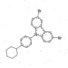 Brc1ccc2c(c1)c1cc(Br)ccc1n2-c1ccc(C2CCCCC2)cc1